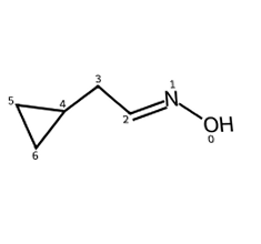 ON=CCC1CC1